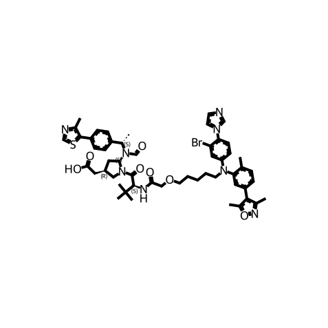 Cc1ccc(-c2c(C)noc2C)cc1N(CCCCCOCC(=O)N[C@H](C(=O)N1C[C@@H](CC(=O)O)C[C@H]1N(C=O)[C@@H](C)c1ccc(-c2scnc2C)cc1)C(C)(C)C)c1ccc(-n2ccnc2)c(Br)c1